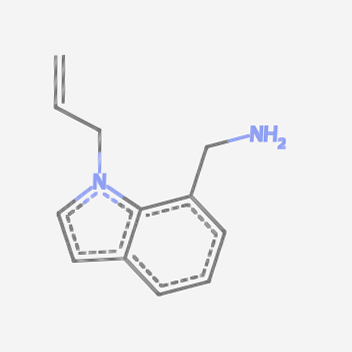 C=CCn1ccc2cccc(CN)c21